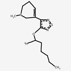 [2H]C(CCCCC)Oc1nsnc1C1=CCCN(C)C1